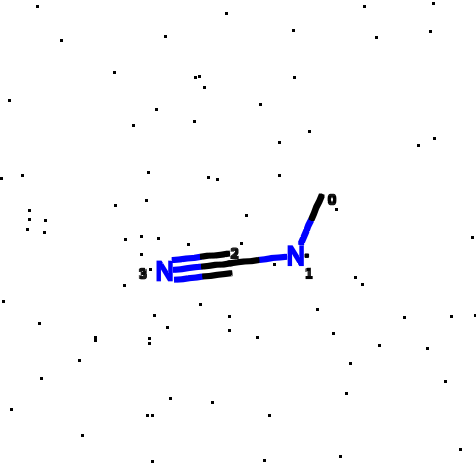 C[N]C#N